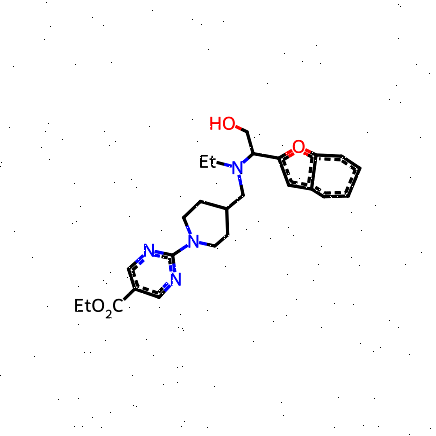 CCOC(=O)c1cnc(N2CCC(CN(CC)C(CO)c3cc4ccccc4o3)CC2)nc1